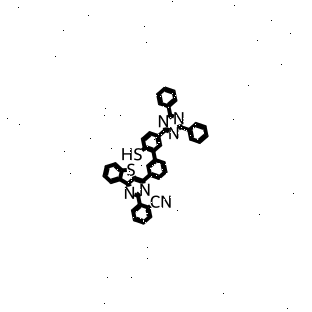 N#Cc1ccccc1-c1nc(-c2cccc(-c3cc(-c4nc(-c5ccccc5)nc(-c5ccccc5)n4)ccc3S)c2)c2sc3ccccc3c2n1